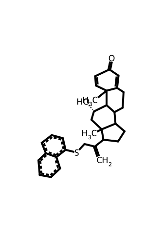 C=C(CSc1cccc2ccccc12)C1CCC2C3CCC4=CC(=O)C=CC4(C)C3[C@@H](O)CC12C